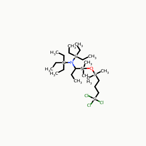 CCC(N([Si](CC)(CC)CC)[Si](CC)(CC)CC)[Si](C)(C)O[Si](C)(C)CCC[Si](Cl)(Cl)Cl